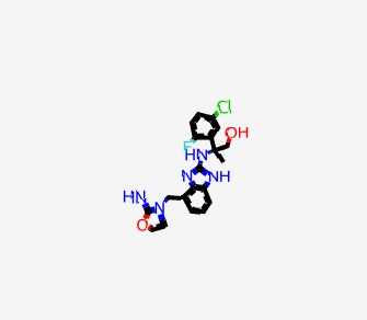 CC(CO)(Nc1nc2c(Cn3ccoc3=N)cccc2[nH]1)c1cc(Cl)ccc1F